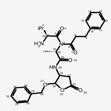 CC(C)[C@H](N)C(=O)N(C(=O)CCc1ccccc1)[C@@H](C)C(=O)NC1CC(=O)OC1OCc1ccccc1